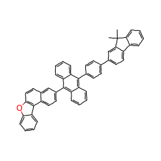 CC1(C)c2ccccc2-c2ccc(-c3ccc(-c4c5ccccc5c(-c5ccc6c(ccc7oc8ccccc8c76)c5)c5ccccc45)cc3)cc21